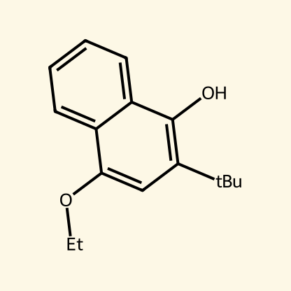 CCOc1cc(C(C)(C)C)c(O)c2ccccc12